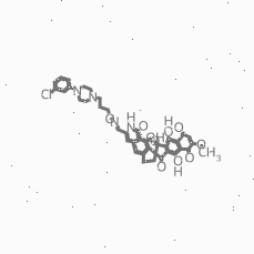 COC1=CC(=O)c2c(O)c3c(c(O)c2C1=O)C(=O)C1(CCc2cc4cc(C=NOCCCN5CCN(c6cccc(Cl)c6)CC5)[nH]c(=O)c4c(O)c21)C3=O